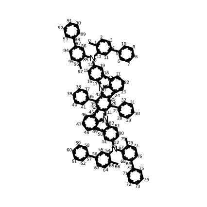 Cc1ccc(-c2ccccc2)cc1N(c1ccc2c(c1)c1cccc3c4c(-c5ccccc5)c5c(c(-c6ccccc6)c4n2c13)c1cccc2c3cc(N(c4cc(-c6ccccc6)ccc4C)c4cc(-c6ccccc6)ccc4C)ccc3n5c21)c1cc(-c2ccccc2)ccc1C